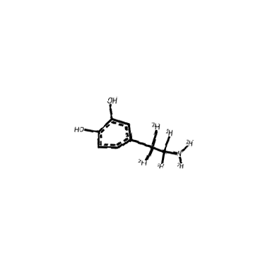 [2H]N([2H])C([2H])([2H])C([2H])([2H])c1ccc(O)c(O)c1